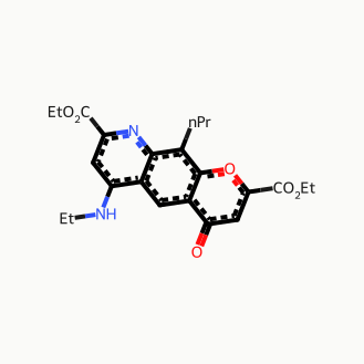 CCCc1c2nc(C(=O)OCC)cc(NCC)c2cc2c(=O)cc(C(=O)OCC)oc12